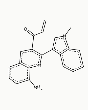 C=CC(=O)c1cc2cccc(N)c2nc1-c1cn(C)c2ccccc12